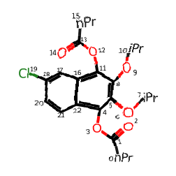 CCCC(=O)Oc1c(OC(C)C)c(OC(C)C)c(OC(=O)CCC)c2cc(Cl)ccc12